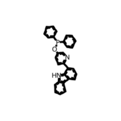 c1ccc(P(Oc2ccc(-c3cccc4c3[nH]c3ccccc34)nc2)c2ccccc2)cc1